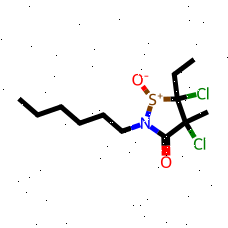 CCCCCCN1C(=O)C(C)(Cl)C(Cl)(CC)[S+]1[O-]